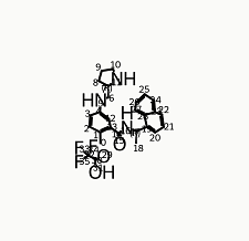 Cc1ccc(NC[C@H]2CCCN2)cc1C(=O)N[C@H](C)c1cccc2ccccc12.O=C(O)C(F)(F)F